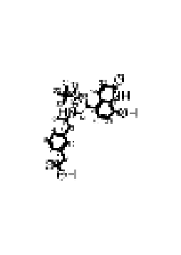 C[C@H](Cc1cccc(CC(=O)O)c1)NC[C@H](O[Si](C)(C)C(C)(C)C)c1ccc(O)c2[nH]c(=O)ccc12